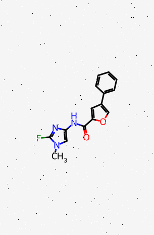 Cn1cc(NC(=O)c2cc(-c3ccccc3)co2)nc1F